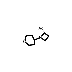 CC(=O)[C@@H]1CCN1C1CCOCC1